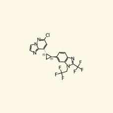 FC(F)(F)Cn1c(C(F)(F)F)nc2ccc([C@H]3C[C@@H]3c3cc(Cl)nn4ccnc34)cc21